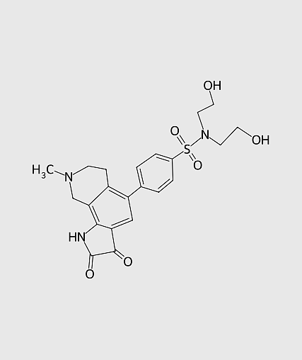 CN1CCc2c(-c3ccc(S(=O)(=O)N(CCO)CCO)cc3)cc3c(c2C1)NC(=O)C3=O